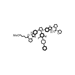 COCCCCC(=O)N1CCC[C@H]1c1nc2cc([C@H]3CC[C@H](c4ccc5[nH]c([C@@H]6CCCN6C(=O)[C@@H]6CCCO6)nc5c4)N3c3cc(F)c(N4CCC(c5ccccc5)CC4)c(F)c3)ccc2[nH]1